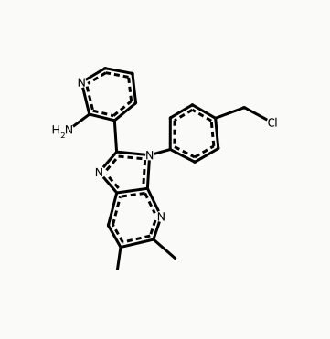 Cc1cc2nc(-c3cccnc3N)n(-c3ccc(CCl)cc3)c2nc1C